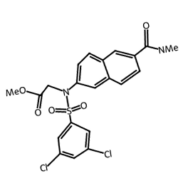 CNC(=O)c1ccc2cc(N(CC(=O)OC)S(=O)(=O)c3cc(Cl)cc(Cl)c3)ccc2c1